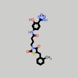 Cc1ccccc1CC1SC(=O)N(CCCC(=O)Nc2ccc(-c3nnn[nH]3)c(O)c2)C1=O